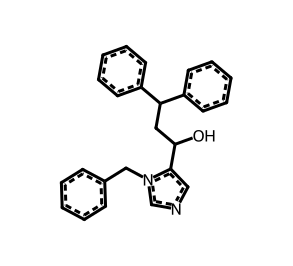 OC(CC(c1ccccc1)c1ccccc1)c1cncn1Cc1ccccc1